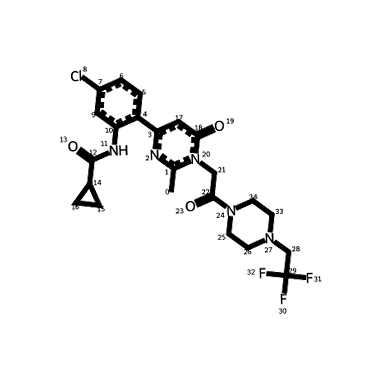 Cc1nc(-c2ccc(Cl)cc2NC(=O)C2CC2)cc(=O)n1CC(=O)N1CCN(CC(F)(F)F)CC1